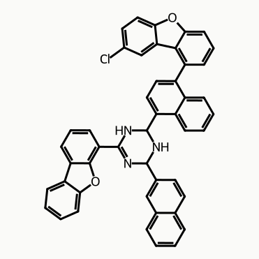 Clc1ccc2oc3cccc(-c4ccc(C5NC(c6cccc7c6oc6ccccc67)=NC(c6ccc7ccccc7c6)N5)c5ccccc45)c3c2c1